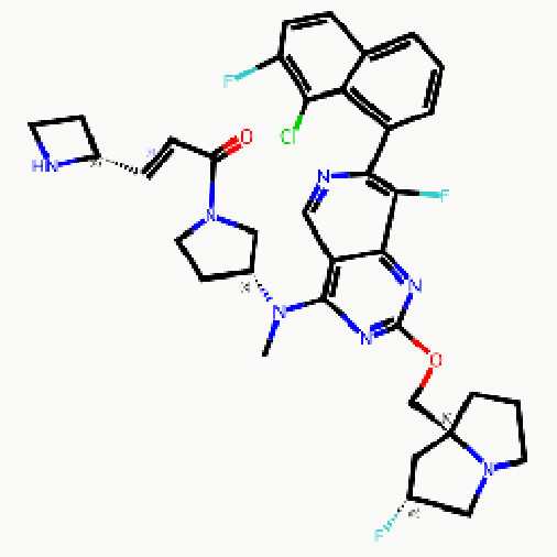 CN(c1nc(OC[C@@]23CCCN2C[C@H](F)C3)nc2c(F)c(-c3cccc4ccc(F)c(Cl)c34)ncc12)[C@@H]1CCN(C(=O)/C=C/[C@H]2CCN2)C1